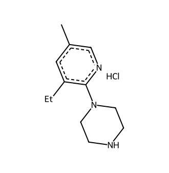 CCc1cc(C)cnc1N1CCNCC1.Cl